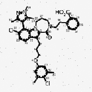 Cc1cc(OCCCc2c3n(c4c(-c5c(C)nn(C)c5C)c(Cl)ccc24)CCCN(CCc2ccccc2C(=O)O)C3=O)cc(C)c1Cl